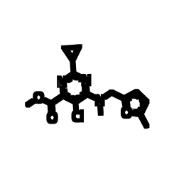 COC(=O)c1nc(C2CC2)nc(N(C)Cc2ccc(C)o2)c1Cl